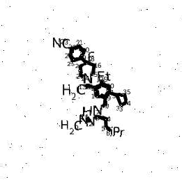 C=N/N=C(/CCC(C)C)NCc1cc(C(=C)N2CCC(F)(c3ccc(C#N)cc3)CC2)c(CC)cc1C1CCC1